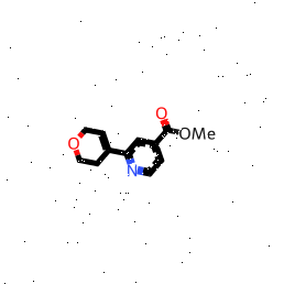 COC(=O)c1ccnc(C2=CCOCC2)c1